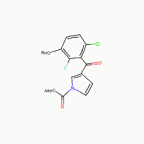 COC(=O)n1ccc(C(=O)c2c(Cl)ccc(OC)c2F)c1